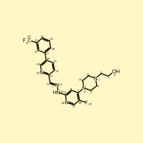 OCCN1CCN(c2cc(N/N=C/c3ccc(-c4cccc(C(F)(F)F)c4)cn3)ncc2F)CC1